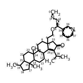 C=N/N=C(\OCCC12CCC3C(CCC4C5(C)CCC(C)C5CCC34C)C1=C(C(C)C)C(=O)C2)c1cccnc1